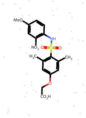 COc1ccc(NS(=O)(=O)c2c(C)cc(OCC(=O)O)cc2C)c([N+](=O)[O-])c1